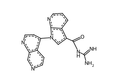 N=C(N)NC(=O)c1cn(-c2ccnc3cnccc23)c2ncccc12